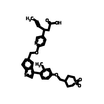 CC#CC(CC(=O)O)c1ccc(OCc2ccc3scc(-c4ccc(OCC5CCS(=O)(=O)CC5)cc4C)c3c2)nc1